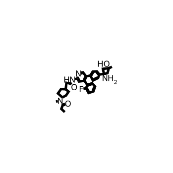 CCC(=O)N(C)C1CCC(CC(=O)Nc2cc(-c3ccccc3F)c(-c3ccc(C4(N)CC(C)(O)C4)cc3)cn2)CC1